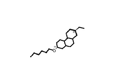 CCCCCCO[C@@H]1CCC2C(CCC3C[C@H](CC)CCC32)C1